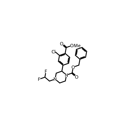 COC(=O)c1ccc(C2CN(CC(F)F)CCN2C(=O)OCc2ccccc2)cc1Cl